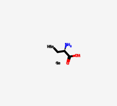 N[C@@H](C[SeH])C(=O)O.[Se]